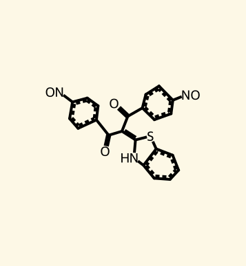 O=Nc1ccc(C(=O)C(C(=O)c2ccc(N=O)cc2)=C2Nc3ccccc3S2)cc1